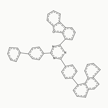 c1ccc(-c2ccc(-c3nc(-c4ccc(-c5cccc6ccc7ccccc7c56)cc4)nc(-c4cccc5c4oc4ccccc45)n3)cc2)cc1